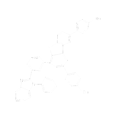 CC(C)(C)c1ccc(-c2ccc3sc4c(-c5cccc(-c6nc7ccccc7n6-c6ccccc6)c5)cc(-c5ccc(C(C)(C)C)cc5)cc4c3c2)cc1